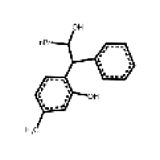 CCCC(O)C(c1ccccc1)c1ccc(C)cc1O